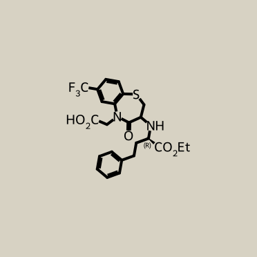 CCOC(=O)[C@@H](CCc1ccccc1)NC1CSc2ccc(C(F)(F)F)cc2N(CC(=O)O)C1=O